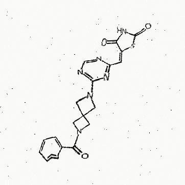 O=C1NC(=O)/C(=C\c2ncnc(N3CC4(CN(C(=O)c5ccccc5)C4)C3)n2)S1